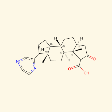 C[C@]12C(C(=O)O)C(=O)C[C@@H]1CC[C@@H]1[C@@H]2CC[C@]2(C)C(c3cnccn3)=CC[C@@H]12